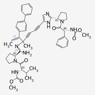 C/C=C(/c1ccc(-c2ccccc2)cc1)C(C)(C#CC#Cc1cnc([C@@H]2CCCN2C(=O)[C@H](NC(=O)OC)c2ccccc2)[nH]1)/N=C(\N)[C@@H]1CCCN1C(=O)[C@@H](NC(=O)OC)C(C)C